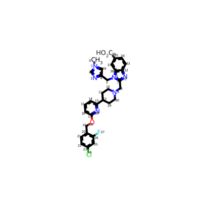 Cn1cnc(Cn2c(CN3CCC(c4cccc(OCc5ccc(Cl)cc5F)n4)CC3)nc3ccc(C(=O)O)cc32)c1